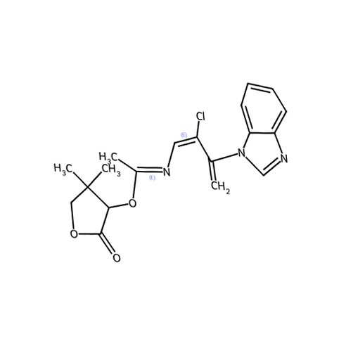 C=C(/C(Cl)=C\N=C(/C)OC1C(=O)OCC1(C)C)n1cnc2ccccc21